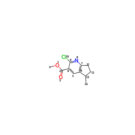 COC(=O)c1cc2c(nc1Cl)CCC2C